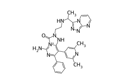 Cc1cc(-c2c(-c3ccccc3)nc(N)[n+]3c(=O)n(CCNC(C)c4nnc5ncccn45)[nH]c23)cc(C)n1